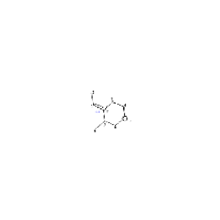 C/C=C1\CCOCC1C